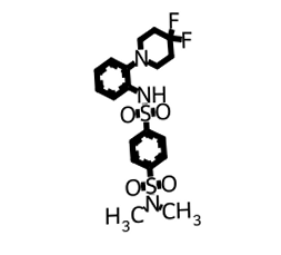 CN(C)S(=O)(=O)c1ccc(S(=O)(=O)Nc2ccccc2N2CCC(F)(F)CC2)cc1